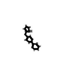 c1ccc(-c2ccc(Cc3ccc[nH]3)cc2)cc1